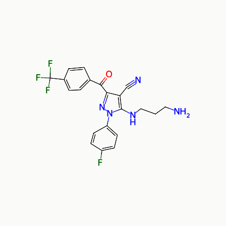 N#Cc1c(C(=O)c2ccc(C(F)(F)F)cc2)nn(-c2ccc(F)cc2)c1NCCCN